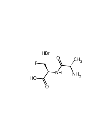 Br.C[C@H](N)C(=O)N[C@H](CF)C(=O)O